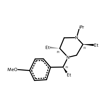 CC[C@H]1CN([C@@H](CC)c2ccc(OC)cc2)[C@H](CC)CN1C(C)C